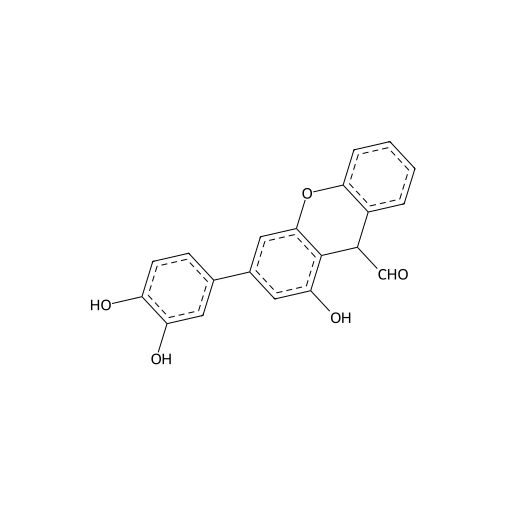 O=CC1c2ccccc2Oc2cc(-c3ccc(O)c(O)c3)cc(O)c21